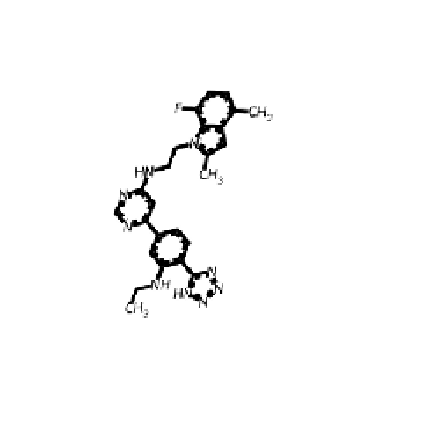 CCNc1cc(-c2cc(NCCn3c(C)cc4c(C)ccc(F)c43)ncn2)ccc1-c1nnn[nH]1